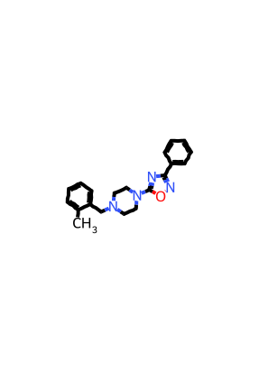 Cc1ccccc1CN1CCN(c2nc(-c3ccccc3)no2)CC1